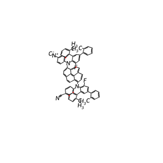 [C-]#[N+]c1ccc(N(c2c(F)cc(-c3ccccc3C)cc2-c2ccccc2C)c2ccc3ccc4c(N(c5ccc(C#N)cc5)c5c(F)cc(-c6ccccc6C)cc5-c5ccccc5C)ccc5ccc2c3c54)cc1